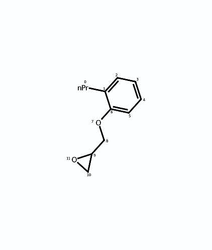 CCCc1ccccc1OCC1CO1